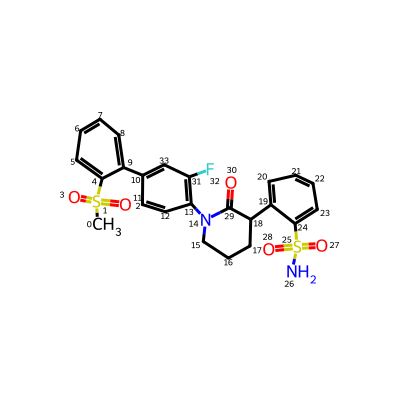 CS(=O)(=O)c1ccccc1-c1ccc(N2CCCC(c3ccccc3S(N)(=O)=O)C2=O)c(F)c1